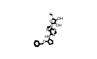 O[C@@H]1[C@H](O)[C@@H](CI)O[C@H]1n1cnc2c(NC3CCCC3OCc3ccccc3)ncnc21